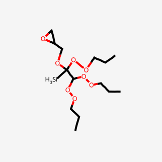 CCCOOC(OOCCC)C([SiH3])(OCC1CO1)OOCCC